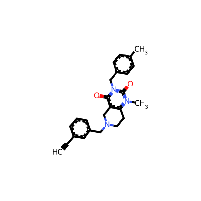 C#Cc1cccc(CN2CCc3c(c(=O)n(Cc4ccc(C)cc4)c(=O)n3C)C2)c1